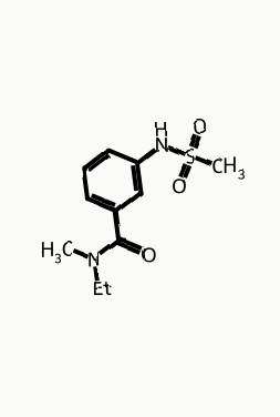 CCN(C)C(=O)c1cccc(NS(C)(=O)=O)c1